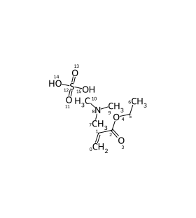 C=CC(=O)OCC.CN(C)C.O=S(=O)(O)O